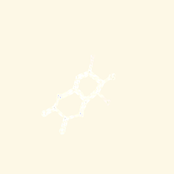 O=C1N=c2cc(F)c(Cl)c(F)c2=NC1=O